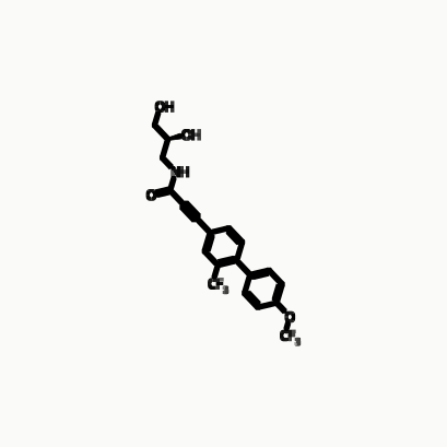 O=C(C#Cc1ccc(-c2ccc(OC(F)(F)F)cc2)c(C(F)(F)F)c1)NC[C@H](O)CO